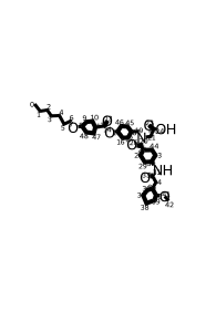 CCCCCCCOc1ccc(C(=O)Oc2ccc(CN(CC(=O)O)C(=O)c3ccc(NC(=O)Cc4ccccc4OC)cc3)cc2)cc1